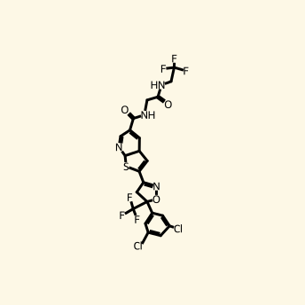 O=C(CNC(=O)C1=CC2C=C(C3=NOC(c4cc(Cl)cc(Cl)c4)(C(F)(F)F)C3)SC2N=C1)NCC(F)(F)F